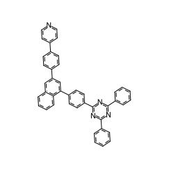 c1ccc(-c2nc(-c3ccccc3)nc(-c3ccc(-c4cc(-c5ccc(-c6ccncc6)cc5)cc5ccccc45)cc3)n2)cc1